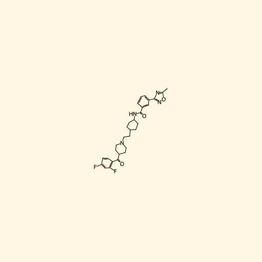 Cc1nc(-c2cccc(C(=O)NC3CCC(CCN4CCC(C(=O)c5ccc(F)cc5F)CC4)CC3)c2)no1